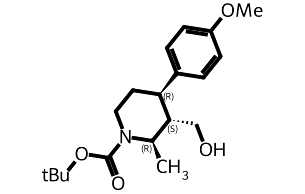 COc1ccc([C@@H]2CCN(C(=O)OC(C)(C)C)[C@H](C)[C@H]2CO)cc1